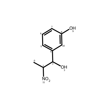 CC(C(O)c1cccc(O)c1)[N+](=O)[O-]